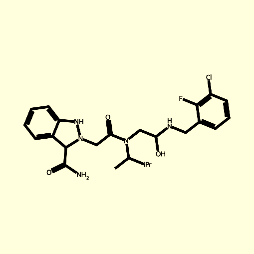 CC(C)C(C)N(CC(O)NCc1cccc(Cl)c1F)C(=O)CN1Nc2ccccc2C1C(N)=O